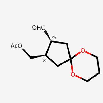 CC(=O)OC[C@@H]1CC2(C[C@@H]1C=O)OCCCO2